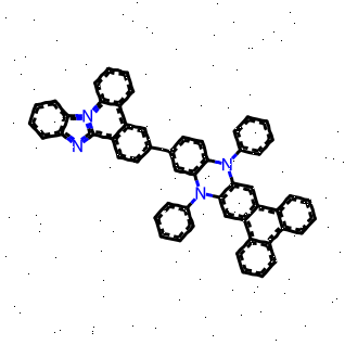 c1ccc(N2c3ccc(-c4ccc5c(c4)c4ccccc4n4c6ccccc6nc54)cc3N(c3ccccc3)c3cc4c5ccccc5c5ccccc5c4cc32)cc1